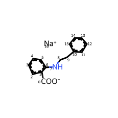 O=C([O-])c1ccccc1NCCc1ccccc1.[Na+]